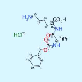 CC(C)[C@H](NC(=O)OCc1ccccc1)C(=O)N[C@@H](CCCCN)C(=O)O.Cl